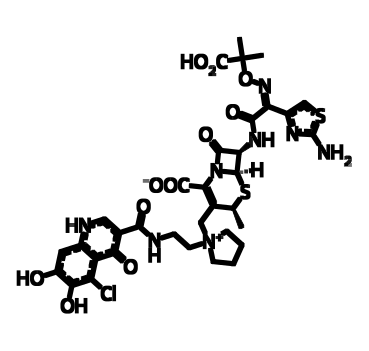 C[C@@H]1S[C@@H]2[C@H](NC(=O)/C(=N\OC(C)(C)C(=O)O)c3csc(N)n3)C(=O)N2C(C(=O)[O-])=C1C[N+]1(CCNC(=O)c2c[nH]c3cc(O)c(O)c(Cl)c3c2=O)CCCC1